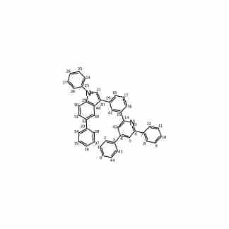 c1ccc(-c2cc(-c3ccccc3)nc(-c3cccc(-c4cn(-c5ccccc5)c5ccc(-c6ccccc6)cc45)c3)c2)cc1